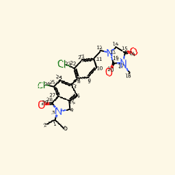 CC(C)N1Cc2cc(-c3ccc(CN4CC(=O)N(C)C4=O)cc3Cl)cc(Cl)c2C1=O